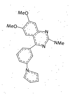 CNc1nc(-c2cccc(-n3cccc3)c2)c2cc(OC)c(OC)cc2n1